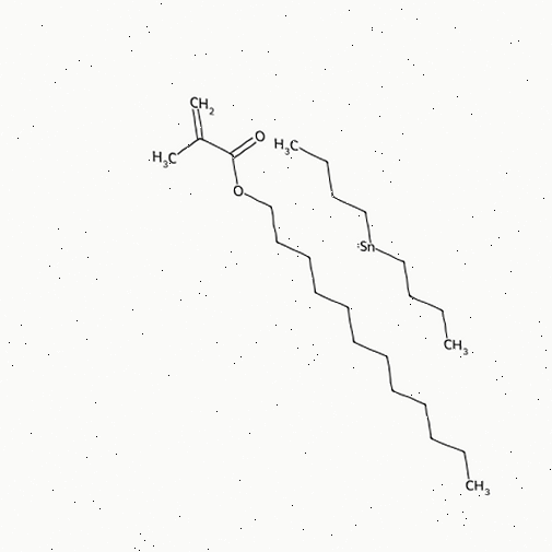 C=C(C)C(=O)OCCCCCCCCCCCC.CCC[CH2][Sn][CH2]CCC